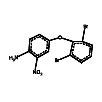 Nc1ccc(Oc2c(Br)[c]ccc2Br)cc1[N+](=O)[O-]